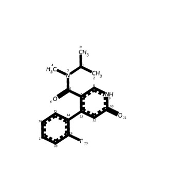 CC(C)N(C)C(=O)c1c[nH]c(=O)cc1-c1ccccc1F